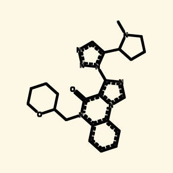 CN1CCCC1c1cnnn1-c1ncn2c1c(=O)n(CC1CCCCO1)c1ccccc12